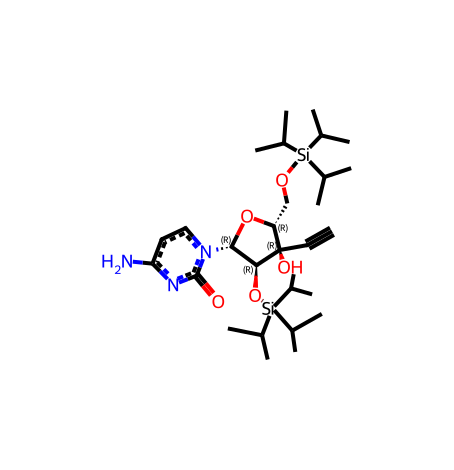 C#C[C@@]1(O)[C@@H](CO[Si](C(C)C)(C(C)C)C(C)C)O[C@@H](n2ccc(N)nc2=O)[C@@H]1O[Si](C(C)C)(C(C)C)C(C)C